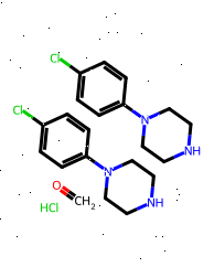 C=O.Cl.Clc1ccc(N2CCNCC2)cc1.Clc1ccc(N2CCNCC2)cc1